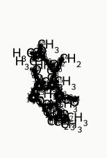 C=CCOCC(COc1cccc(Cc2cc(Cc3cc(Cc4ccc(C)c(OCC5CO5)c4)c(C)c(OCC(COCC=C)OC(=O)NCCC[Si](OCC)(OCC)OCC)c3)c(C)c(OCC3CO3)c2)c1C)OC(=O)NCCC[Si](OCC)(OCC)OCC